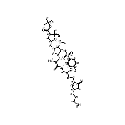 C=C(C(O)C[C@@H]1O[C@H](C[C@H]2CN(C(=O)OC(C)(C)C)C(C)(C)O2)[C@H](OC)[C@H]1CS(=O)(=O)c1ccc(C)cc1)[C@H](C)C[C@@H](Cl)CC[C@@H]1O[C@@H](CCCO)CC1=C